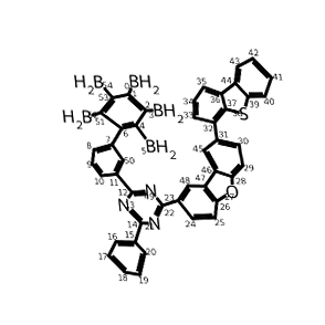 Bc1c(B)c(B)c(-c2cccc(-c3nc(-c4ccccc4)nc(-c4ccc5oc6ccc(-c7cccc8c7sc7ccccc78)cc6c5c4)n3)c2)c(B)c1B